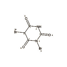 O=C1NC(=O)N(Br)C(=O)C1Br